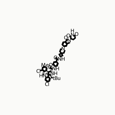 COc1cc(C(=O)NC2CC3(CCN(c4ccc5c(c4)CN(C4CCC(=O)NC4=O)C5=O)CC3)C2)ccc1NC(=O)[C@@H]1N[C@@H](CC(C)(C)C)[C@@]2(CNc3cc(Cl)ccc32)[C@H]1c1cccc(Cl)c1F